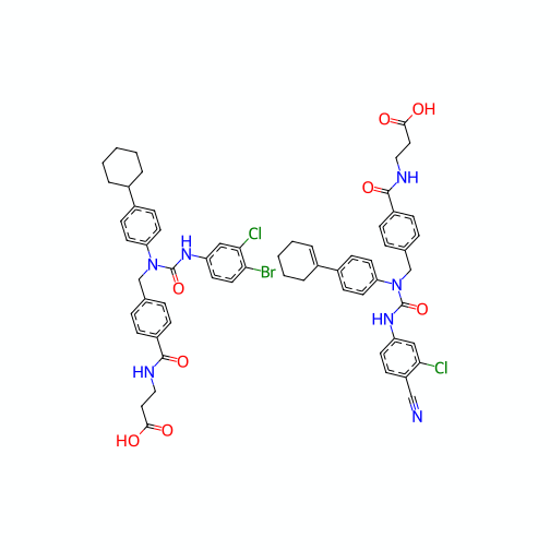 N#Cc1ccc(NC(=O)N(Cc2ccc(C(=O)NCCC(=O)O)cc2)c2ccc(C3=CCCCC3)cc2)cc1Cl.O=C(O)CCNC(=O)c1ccc(CN(C(=O)Nc2ccc(Br)c(Cl)c2)c2ccc(C3CCCCC3)cc2)cc1